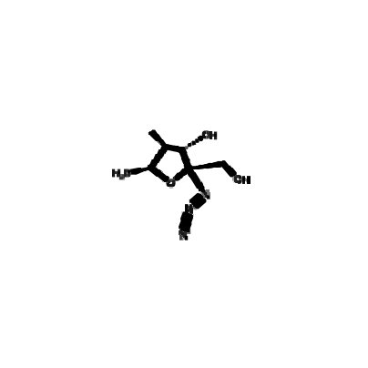 B[C@@H]1O[C@@](CO)(N=[N+]=[N-])[C@@H](O)[C@@H]1C